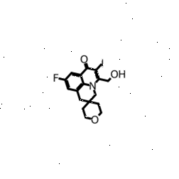 O=c1c(I)c(CO)n2c3c(cc(F)cc13)CC1(CCOCC1)C2